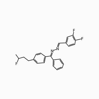 CC(F)CCc1ccc(C(=NN=Cc2ccc(F)c(F)c2)c2ccccc2)cc1